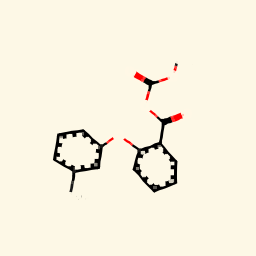 COc1cccc(Oc2ccccc2C(=O)OC(=O)OC(=O)O)c1